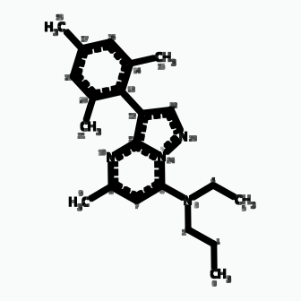 CCCN(CC)c1cc(C)nc2c(-c3c(C)cc(C)cc3C)cnn12